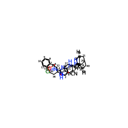 N#Cc1cnc(NCc2ccccc2Cl)nc1NC[C@]12CC3C[C@H](C1)[C@@H](N[C@H]1CC[C@@H](NC4CCOCC4)CC1)[C@@H](C3)C2